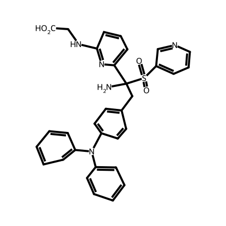 NC(Cc1ccc(N(c2ccccc2)c2ccccc2)cc1)(c1cccc(NCC(=O)O)n1)S(=O)(=O)c1cccnc1